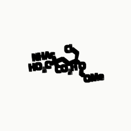 COCO[C@H](CCl)CCC(NC(C)=O)(C(=O)O)C(=O)O